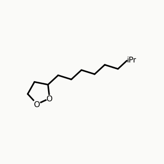 CC(C)CCCCCCC1CCOO1